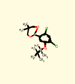 CC1(C)COB(c2cc(O[Si](C)(C)C(C)(C)C)c(Cl)cc2Cl)OC1